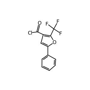 O=C(Cl)c1cc(-c2ccccc2)oc1C(F)(F)F